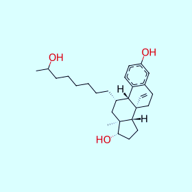 C=C[C@@]12CCc3cc(O)ccc3[C@H]1[C@@H](CCCCCCC(C)O)C[C@@]1(C)[C@H]2CC[C@@H]1O